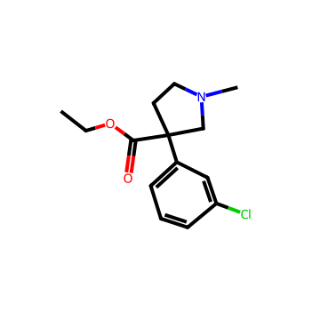 CCOC(=O)C1(c2cccc(Cl)c2)CCN(C)C1